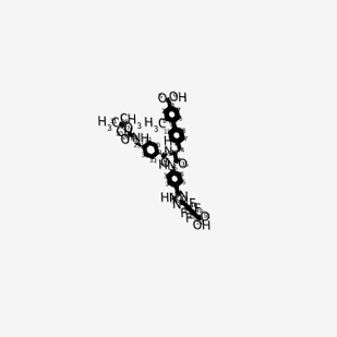 Cc1cc(C(=O)O)ccc1-c1ccc(C[C@H](NC(=O)[C@H]2CC[C@H](CNC(=O)OC(C)(C)C)CC2)C(=O)Nc2ccc(-c3nc(C(F)(F)C(F)(F)C(=O)O)n[nH]3)cc2)cc1